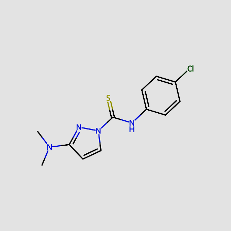 CN(C)c1ccn(C(=S)Nc2ccc(Cl)cc2)n1